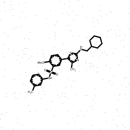 COc1ccc(-c2sc(NCC3CCCCC3)nc2C)cc1S(=O)(=O)Nc1cccc(C)c1